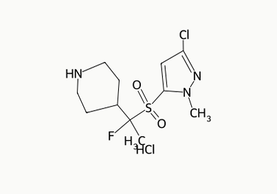 Cl.Cn1nc(Cl)cc1S(=O)(=O)C(C)(F)C1CCNCC1